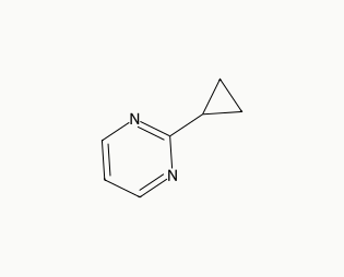 c1cnc(C2CC2)nc1